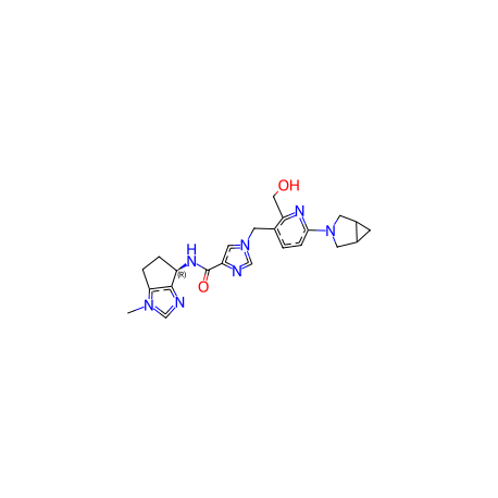 Cn1cnc2c1CC[C@H]2NC(=O)c1cn(Cc2ccc(N3CC4CC4C3)nc2CO)cn1